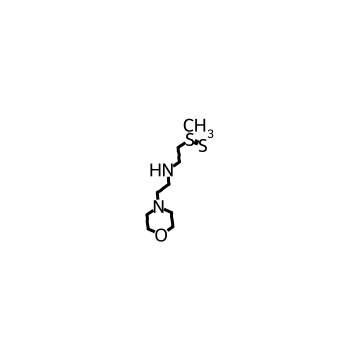 CS(=S)CCNCCN1CCOCC1